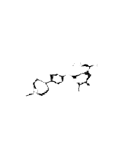 Cc1nc(Nc2ccc(C3CCN(C)CC3)cc2)c(C(N)=O)cc1F